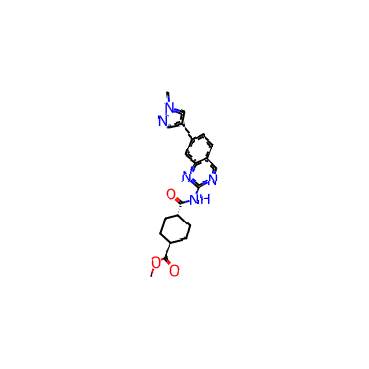 COC(=O)[C@H]1CC[C@H](C(=O)Nc2ncc3ccc(-c4cnn(C)c4)cc3n2)CC1